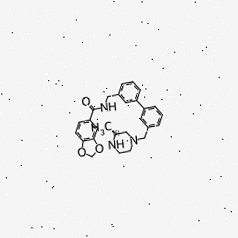 C[C@H]1CN(Cc2cccc(-c3cccc(CNC(=O)c4ccc5c(c4)OCO5)c3)c2)CCN1